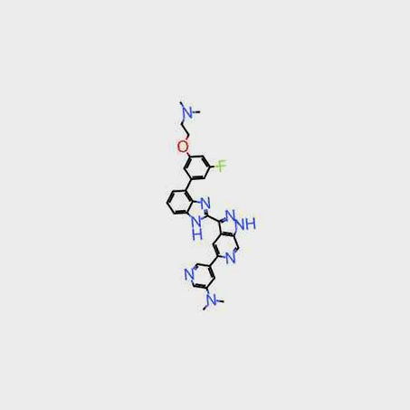 CN(C)CCOc1cc(F)cc(-c2cccc3[nH]c(-c4n[nH]c5cnc(-c6cncc(N(C)C)c6)cc45)nc23)c1